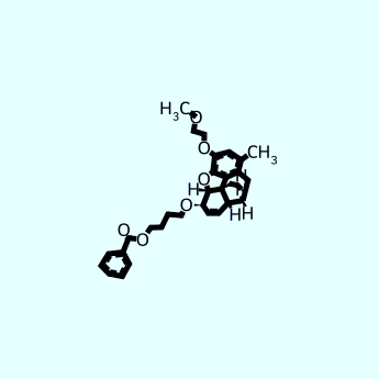 COCCOc1cc(C)c2c3c1O[C@H]1[C@@H](OCCCCOC(=O)c4ccccc4)C=C[C@H]4[C@@H](C2)NCC[C@@]341